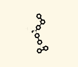 CC(=O)N(c1ccc(-c2ccc(-n3c4ccccc4c4ccccc43)cc2)cc1)c1ccc(-c2cccc3c2oc2ccccc23)cc1